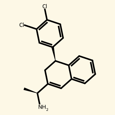 C[C@H](N)C1=Cc2ccccc2[C@H](c2ccc(Cl)c(Cl)c2)C1